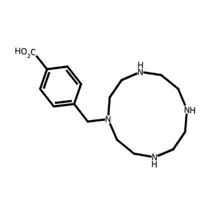 O=C(O)c1ccc(CN2CCNCCNCCNCC2)cc1